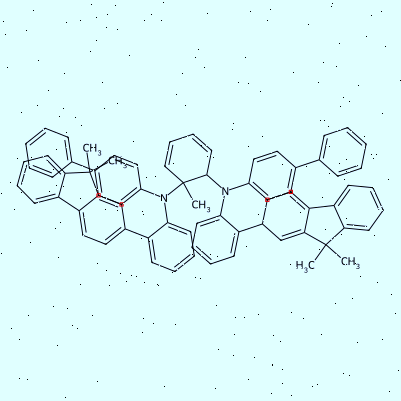 CC1(C)C2=CC(c3ccccc3N(c3ccc(-c4ccccc4)cc3)C3C=CC=CC3(C)N(c3ccc(-c4ccccc4)cc3)c3ccccc3-c3ccc4c(c3)C(C)(C)c3ccccc3-4)CC=C2c2ccccc21